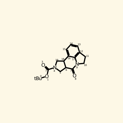 CC(C)(C)OC(=O)N1CC2C(=O)N3CCc4cccc(c43)C2C1